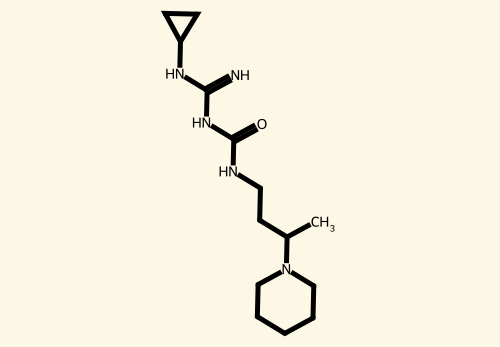 CC(CCNC(=O)NC(=N)NC1CC1)N1CCCCC1